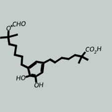 CC(C)(CCCCCc1cc(CCCCCC(C)(C)C(=O)O)cc(O)c1O)OC=O